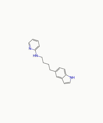 c1ccc(NCCCCc2ccc3[nH]ccc3c2)nc1